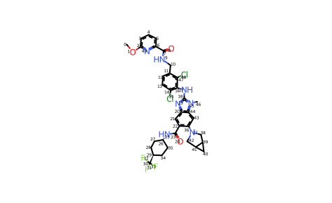 COc1cccc(C(=O)NCc2ccc(Cl)c(Nc3nc4cc(C(=O)N[C@H]5CC[C@H](C(F)(F)F)CC5)c(N5CC6CC6C5)cc4n3C)c2Cl)n1